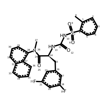 Cc1ccccc1S(=O)(=O)NC(=O)N[C@@H](Cc1cc(F)cc(F)c1)C(=O)N(C)c1cccc2ccccc12